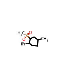 CC1CCC(C(C)C)C(S(C)(=O)=O)C1